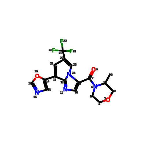 CC1COCCN1C(=O)c1cnc2c(-c3cnco3)cc(C(F)(F)F)cn12